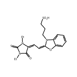 CCN1C(=O)C(=CC=C2Oc3ccccc3N2CCCS(=O)(=O)O)N(CC)C1=S